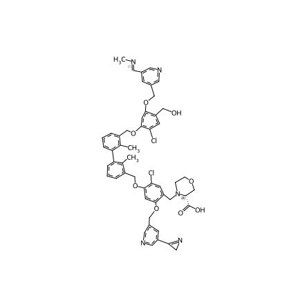 C/N=C/c1cncc(COc2cc(OCc3cccc(-c4cccc(COc5cc(OCc6cncc(C7=NC7)c6)c(CN6CCOC[C@@H]6C(=O)O)cc5Cl)c4C)c3C)c(Cl)cc2CO)c1